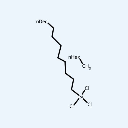 CCCCCCC.CCCCCCCCCCCCCCCCCC[Si](Cl)(Cl)Cl